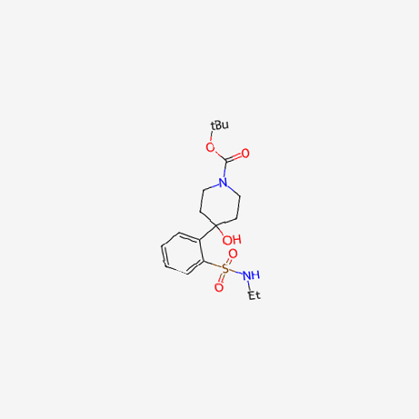 CCNS(=O)(=O)c1ccccc1C1(O)CCN(C(=O)OC(C)(C)C)CC1